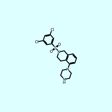 O=S(=O)(c1cc(Cl)cc(Cl)c1)N1CCc2c(cccc2N2CCNCC2)C1